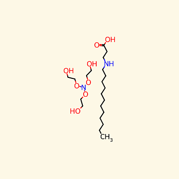 CCCCCCCCCCCCNCCC(=O)O.OCCON(OCCO)OCCO